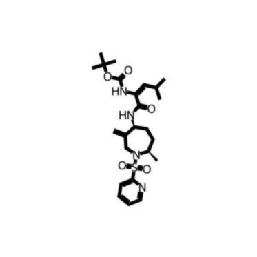 C=C1CN(S(=O)(=O)c2ccccn2)[C@H](C)CC[C@@H]1NC(=O)/C(=C\C(C)C)NC(=O)OC(C)(C)C